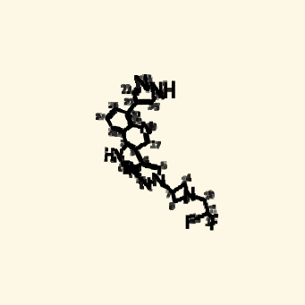 CC(C)Nc1c(-c2cn(C3CN(CC(F)F)C3)nn2)cnc2c(-c3cn[nH]c3)cccc12